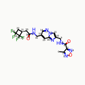 Cc1nonc1C(=O)NCc1cn2ncc(CNC(=O)C[C@@H]3CC(F)(F)C3(F)F)cc2n1